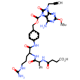 C#CCn1c(=O)n(C(=O)OCc2ccc(NC(=O)C(CCCNC(N)=O)NC(=O)C(NC(=O)CCC(=O)O)C(C)C)cc2)c2c(N)nc(OCCCC)nc21